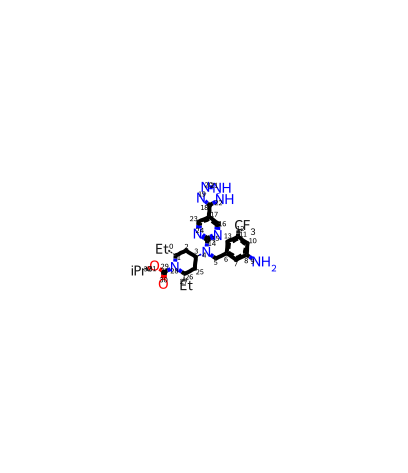 CC[C@@H]1C[C@H](N(Cc2cc(N)cc(C(F)(F)F)c2)c2ncc(C3N=NNN3)cn2)C[C@H](CC)N1C(=O)OC(C)C